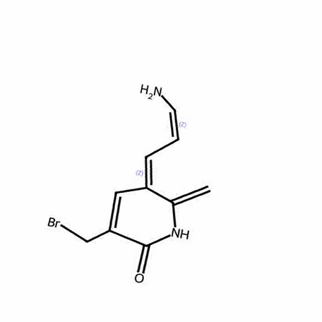 C=c1[nH]c(=O)c(CBr)c/c1=C/C=C\N